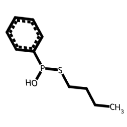 CCCCSP(O)c1ccccc1